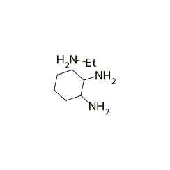 NC1CCCCC1N.[CH2]CN